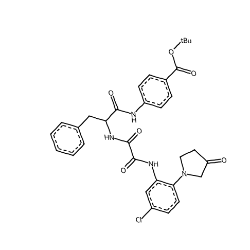 CC(C)(C)OC(=O)c1ccc(NC(=O)C(Cc2ccccc2)NC(=O)C(=O)Nc2cc(Cl)ccc2N2CCC(=O)C2)cc1